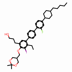 CCCCCC1CCC(c2ccc(-c3ccc(-c4cc(CCCO)c(OCC5COC(C)(C)OC5)c(I)c4CC)cc3)c(F)c2)CC1